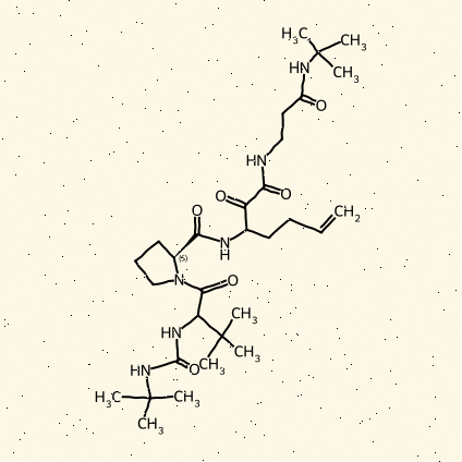 C=CCCC(NC(=O)[C@@H]1CCCN1C(=O)C(NC(=O)NC(C)(C)C)C(C)(C)C)C(=O)C(=O)NCCC(=O)NC(C)(C)C